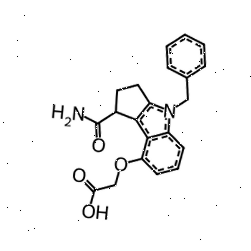 NC(=O)C1CCc2c1c1c(OCC(=O)O)cccc1n2Cc1ccccc1